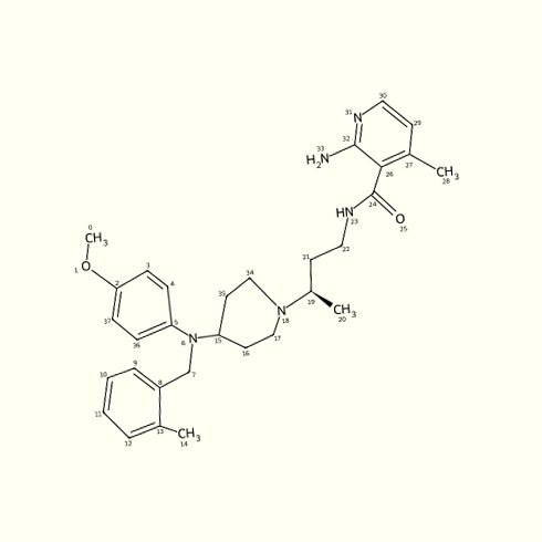 COc1ccc(N(Cc2ccccc2C)C2CCN([C@H](C)CCNC(=O)c3c(C)ccnc3N)CC2)cc1